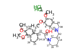 COc1cc2c(cc1OC)CN(CC1CCCCN(CC(O)Cc3cccc4c(OC)c(OC)ccc34)C1)CC2.Cl.Cl